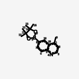 Cc1ccnc2ccc(B3OC(C)(C)C(C)(C)O3)cc12